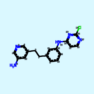 Nc1cncc(CCc2cccc(Nc3ccnc(Cl)n3)c2)c1